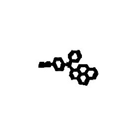 COc1ccc(P(c2ccccc2)c2ccc3ccc4cccc5ccc2c3c45)cc1